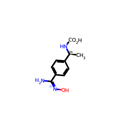 C[C@H](NC(=O)O)c1ccc(/C(N)=N\O)cc1